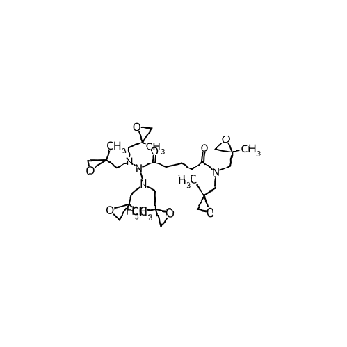 CC1(CN(CC2(C)CO2)C(=O)CCCC(=O)N(N(CC2(C)CO2)CC2(C)CO2)N(CC2(C)CO2)CC2(C)CO2)CO1